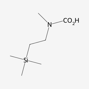 CN(CC[Si](C)(C)C)C(=O)O